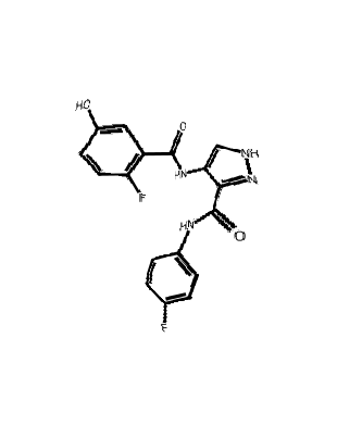 O=C(Nc1c[nH]nc1C(=O)Nc1ccc(F)cc1)c1cc(O)ccc1F